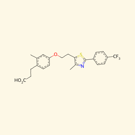 Cc1cc(OCCc2sc(-c3ccc(C(F)(F)F)cc3)nc2C)ccc1CCC(=O)O